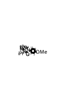 COc1ccc(N2CSC(=NC(C)(C)C)N(C(C)C)C2=O)cc1